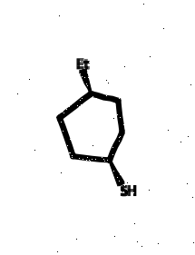 CC[C@H]1CC[C@@H](S)CC1